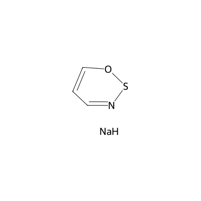 C1=COSN=C1.[NaH]